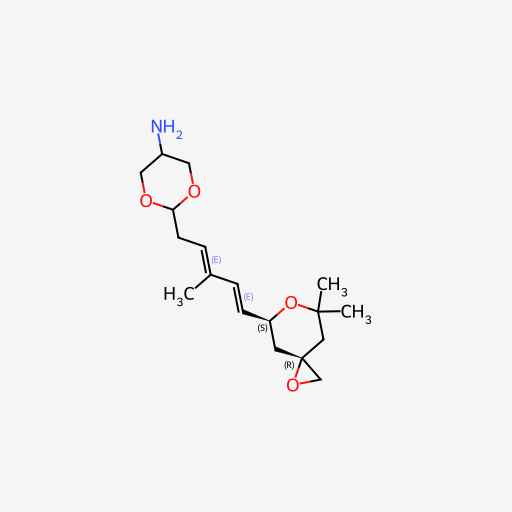 CC(/C=C/[C@@H]1C[C@]2(CO2)CC(C)(C)O1)=C\CC1OCC(N)CO1